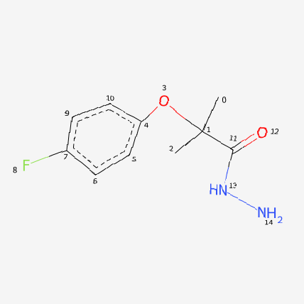 CC(C)(Oc1ccc(F)cc1)C(=O)NN